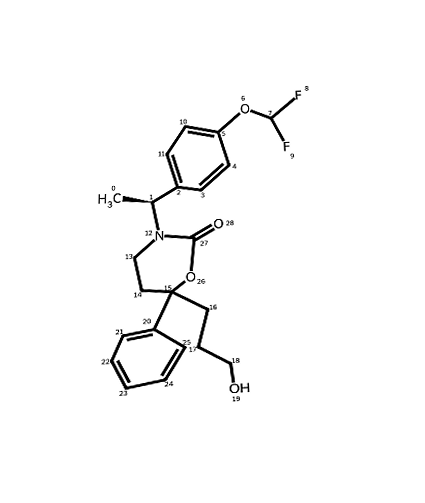 C[C@@H](c1ccc(OC(F)F)cc1)N1CCC(CCCO)(c2ccccc2)OC1=O